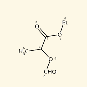 CCOC(=O)C(C)OC=O